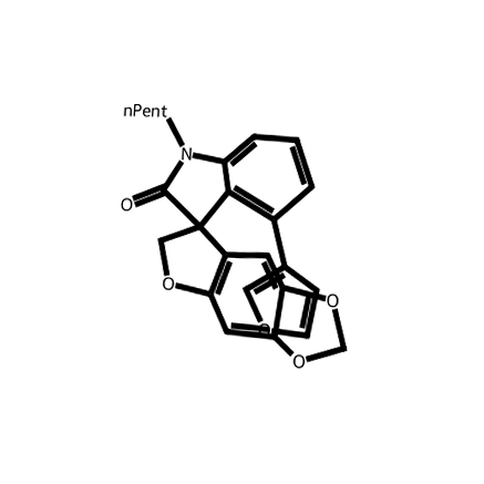 CCCCCN1C(=O)C2(COc3cc4c(cc32)OCO4)c2c(-c3ccoc3)cccc21